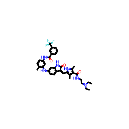 CCN(CC)CCNC(=O)c1c(C)[nH]c(C=C2C(=O)Nc3cc(Nc4cc(NC(=O)c5cccc(C(F)(F)F)c5)ccc4C)ccc32)c1C